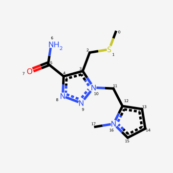 CSCc1c(C(N)=O)nnn1Cc1cccn1C